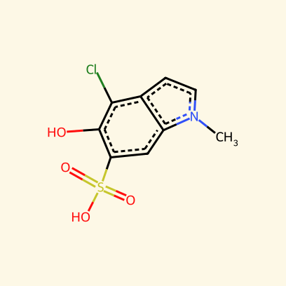 Cn1ccc2c(Cl)c(O)c(S(=O)(=O)O)cc21